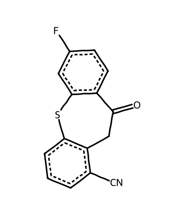 N#Cc1cccc2c1CC(=O)c1ccc(F)cc1S2